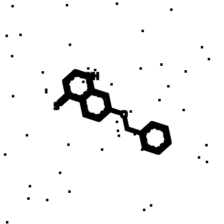 S=c1cc[nH]c2cc(OCc3ccccc3)ccc12